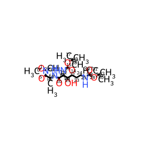 CON(C)C(=O)[C@H](C)NC(=O)[C@@H](NC(=O)OC(C)(C)C)[C@@H](O)CCCNC(=O)OC(C)(C)C